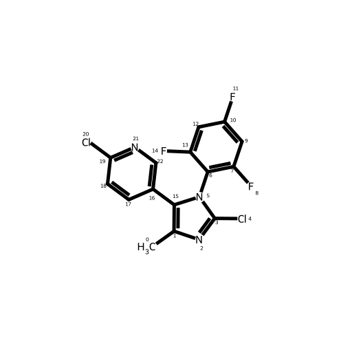 Cc1nc(Cl)n(-c2c(F)cc(F)cc2F)c1-c1ccc(Cl)nc1